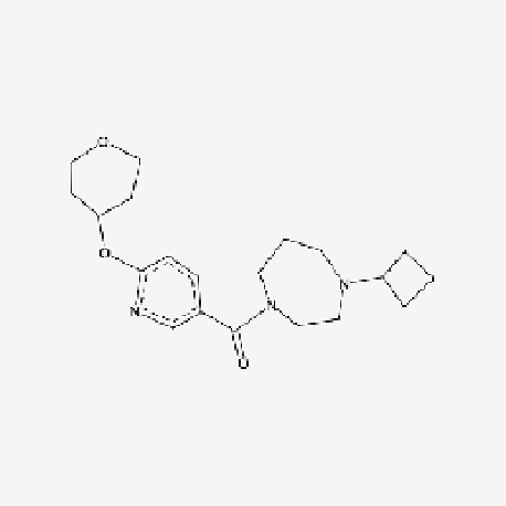 O=C(c1ccc(OC2CCOCC2)nc1)N1CCCN(C2CCC2)CC1